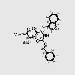 CCCC[C@@H](NC(=O)[C@H](Cc1csc2ccccc12)NC(=O)OCc1ccccc1)C(=O)OC